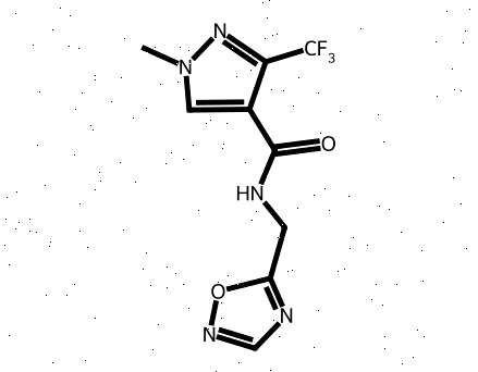 Cn1cc(C(=O)NCc2ncno2)c(C(F)(F)F)n1